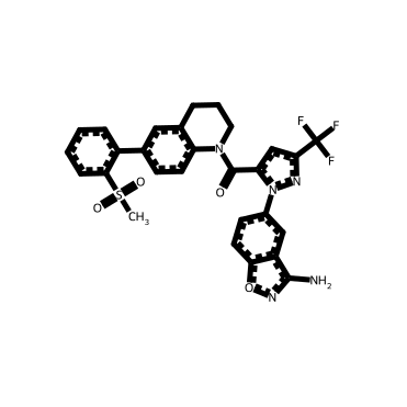 CS(=O)(=O)c1ccccc1-c1ccc2c(c1)CCCN2C(=O)c1cc(C(F)(F)F)nn1-c1ccc2onc(N)c2c1